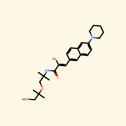 COCC(C)(C)OCC(C)(C)NC(=O)/C(C#N)=C/c1ccc2cc(N3CCCCC3)ccc2c1